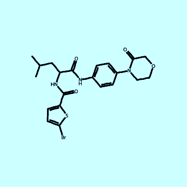 CC(C)CC(NC(=O)c1ccc(Br)s1)C(=O)Nc1ccc(N2CCOCC2=O)cc1